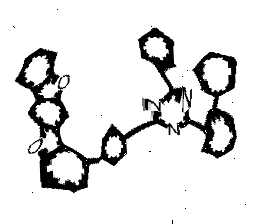 c1ccc(-c2nc(-c3ccc(-c4cccc5oc6cc7c(cc6c45)oc4ccccc47)cc3)nc(-c3ccccc3-c3ccccc3)n2)cc1